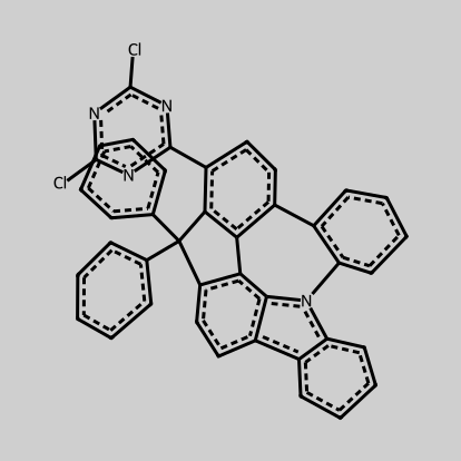 Clc1nc(Cl)nc(-c2ccc3c4c2C(c2ccccc2)(c2ccccc2)c2ccc5c6ccccc6n(c5c2-4)-c2ccccc2-3)n1